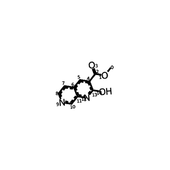 COC(=O)c1cc2ccncc2nc1O